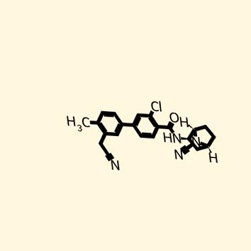 Cc1ccc(-c2ccc(C(=O)N[C@@H]3C[C@@H]4CC[C@H]3N4C#N)c(Cl)c2)cc1CC#N